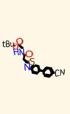 CC(C)(C)OC(=O)CNC(=O)Cc1nc2ccc(-c3ccc(C#N)cc3)cc2s1